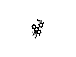 CC/N=C1/C=C2C(C=C1C)OC1CC(C)C(NCC)CC1C2c1ccccc1C(=O)OCC